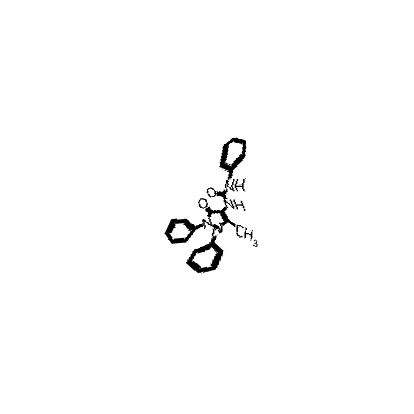 Cc1c(NC(=O)Nc2ccccc2)c(=O)n(-c2ccccc2)n1-c1ccccc1